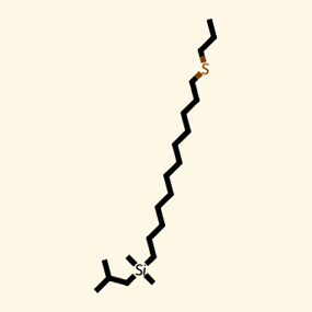 CCCSCCCCCCCCCCCC[Si](C)(C)CC(C)C